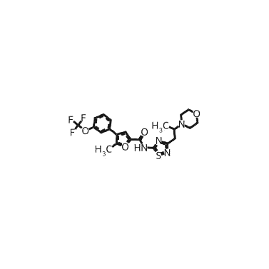 Cc1oc(C(=O)Nc2nc(CC(C)N3CCOCC3)ns2)cc1-c1cccc(OC(F)(F)F)c1